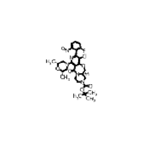 C[C@@H]1CN(c2nc(-c3c(F)cccc3N=O)c(Cl)c3c2C(=O)N2CCN(C(=O)OC(C)(C)C)C[C@@H]2CO3)C[C@H](C)O1